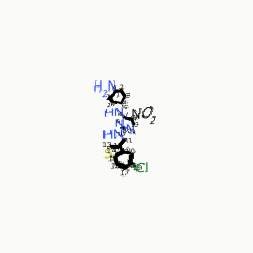 N[C@H]1CC[C@H](CNc2nc(NCc3csc4ccc(Cl)cc34)ncc2[N+](=O)[O-])CC1